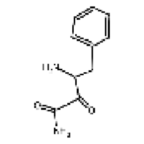 NC(=O)C(=O)C(N)Cc1ccccc1